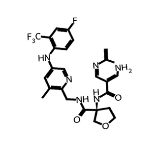 C=C(C)/N=C\C(=C/N)C(=O)N[C@@]1(C(=O)NCc2ncc(Nc3ccc(F)cc3C(F)(F)F)cc2C)CCOC1